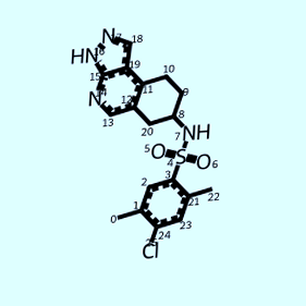 Cc1cc(S(=O)(=O)NC2CCc3c(cnc4[nH]ncc34)C2)c(C)cc1Cl